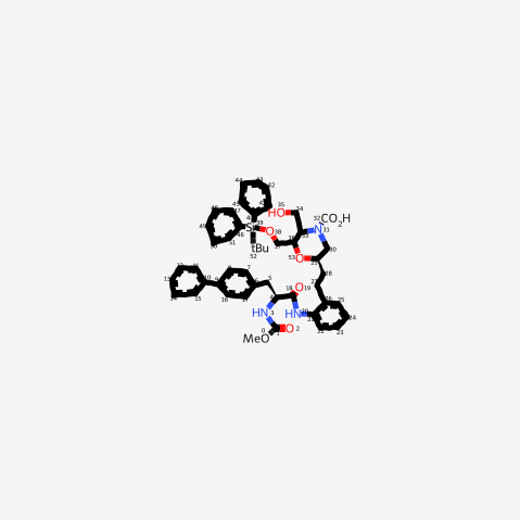 COC(=O)N[C@@H](Cc1ccc(-c2ccccc2)cc1)C(=O)Nc1ccccc1CC[C@@H]1CN(C(=O)O)C(CO)C(CO[Si](c2ccccc2)(c2ccccc2)C(C)(C)C)O1